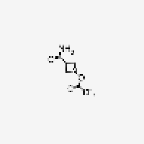 NC(=O)C1CN(OC(=O)C(F)(F)F)C1